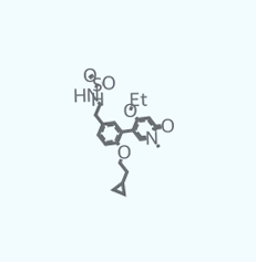 CCOc1cc(=O)n(C)cc1-c1cc(CCN[SH](=O)=O)ccc1OCCC1CC1